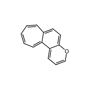 C1=CC=c2c(ccc3c2=CC=CO3)C=C1